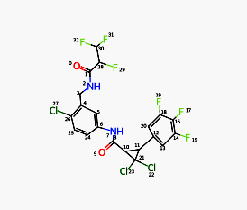 O=C(NCc1cc(NC(=O)C2C(c3cc(F)c(F)c(F)c3)C2(Cl)Cl)ccc1Cl)C(F)C(F)F